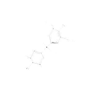 Cc1cc(C(C)(C)c2cc(C)c(N=O)c(C)c2)cc(C)c1N=O